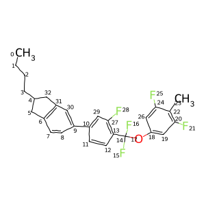 CCCCC1Cc2ccc(-c3ccc(C(F)(F)Oc4cc(F)c(C)c(F)c4)c(F)c3)cc2C1